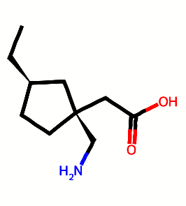 CC[C@@H]1CC[C@@](CN)(CC(=O)O)C1